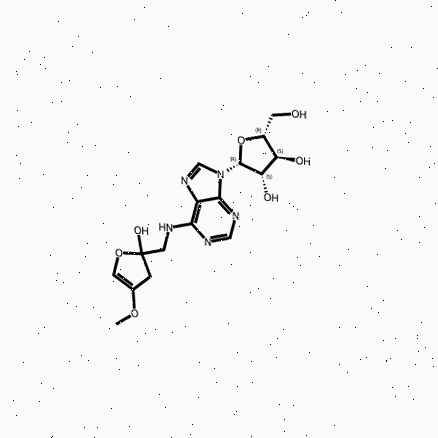 COC1=COC(O)(CNc2ncnc3c2ncn3[C@@H]2O[C@H](CO)[C@@H](O)[C@@H]2O)C1